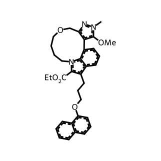 CCOC(=O)c1c(CCCOc2cccc3ccccc23)c2cccc3c2n1CCCCOCc1nn(C)c(OC)c1-3